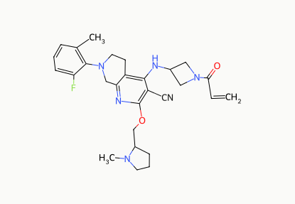 C=CC(=O)N1CC(Nc2c(C#N)c(OCC3CCCN3C)nc3c2CCN(c2c(C)cccc2F)C3)C1